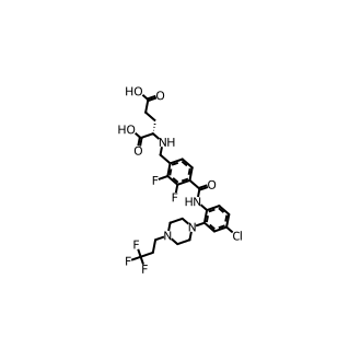 O=C(O)CC[C@H](NCc1ccc(C(=O)Nc2ccc(Cl)cc2N2CCN(CCC(F)(F)F)CC2)c(F)c1F)C(=O)O